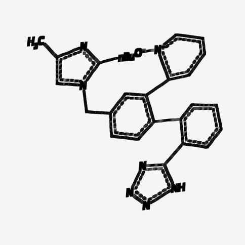 CCCCc1nc(C)cn1Cc1ccc(-c2ccccc2-c2nnn[nH]2)c(-c2cccc[n+]2[O-])c1